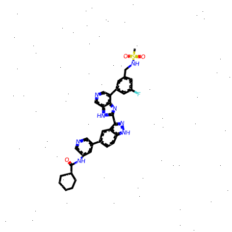 CS(=O)(=O)NCc1cc(F)cc(-c2cncc3[nH]c(-c4n[nH]c5ccc(-c6cncc(NC(=O)C7CCCCC7)c6)cc45)nc23)c1